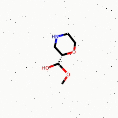 COC(O)[C@@H]1CNCCO1